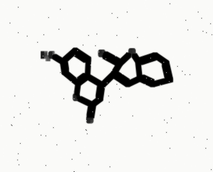 Cc1ccc2c(-c3cc4ccccc4oc3=O)cc(=O)oc2c1